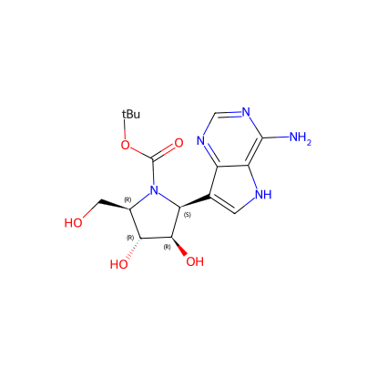 CC(C)(C)OC(=O)N1[C@H](CO)[C@@H](O)[C@H](O)[C@@H]1c1c[nH]c2c(N)ncnc12